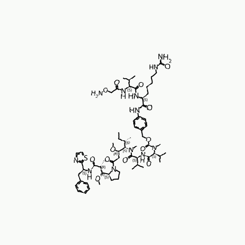 CC[C@H](C)[C@@H]([C@@H](CC(=O)N1CCC[C@H]1[C@H](OC)[C@@H](C)C(=O)N[C@@H](Cc1ccccc1)c1nccs1)OC)N(C)C(=O)[C@@H](NC(=O)[C@H](C(C)C)N(C)C(=O)OCc1ccc(NC(=O)[C@H](CCCCCNC(N)=O)NC(=O)[C@@H](NC(=O)CON)C(C)C)cc1)C(C)C